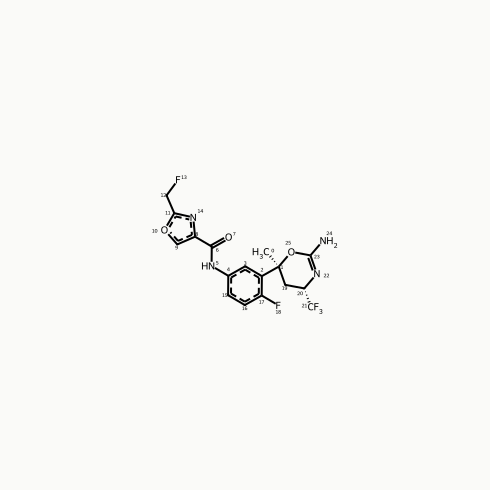 C[C@@]1(c2cc(NC(=O)c3coc(CF)n3)ccc2F)C[C@@H](C(F)(F)F)N=C(N)O1